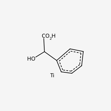 O=C(O)C(O)c1ccccc1.[Ti]